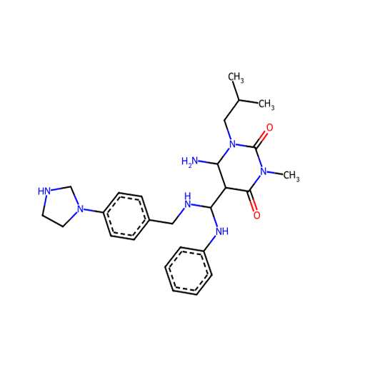 CC(C)CN1C(=O)N(C)C(=O)C(C(NCc2ccc(N3CCNC3)cc2)Nc2ccccc2)C1N